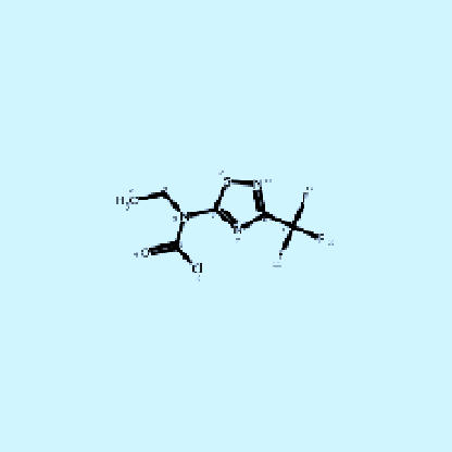 CCN(C(=O)Cl)c1nc(C(F)(F)F)ns1